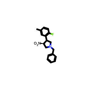 Cc1ccc(F)c(C2CN(Cc3ccccc3)C[C@H]2[N+](=O)[O-])c1